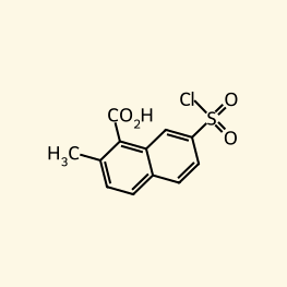 Cc1ccc2ccc(S(=O)(=O)Cl)cc2c1C(=O)O